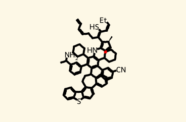 C=C/C=C\CC/C(C1=C(Nc2c(C3CCCCC3)c(-c3cccc(C#N)c3)c(C3CCc4c(ccc5sc6ccccc6c45)-c4ccccc43)c(-c3cccc(C(C)N)c3)c2C2CCCCC2)C=C[C@@H]1C)=C(S)/C=C\CC